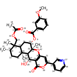 COc1cccc(C(=O)O[C@H]2CC3C(C)(COC(C)=O)[C@@H](C)CC[C@]3(C)C3[C@@H](O)c4c(cc(-c5cccnc5)oc4=O)O[C@@]32C)c1